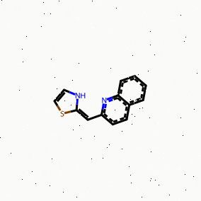 C1=CSC(=Cc2ccc3ccccc3n2)N1